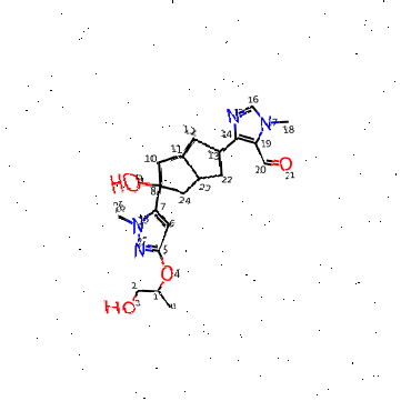 CC(CO)Oc1cc(C2(O)CC3CC(c4ncn(C)c4C=O)CC3C2)n(C)n1